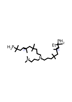 CCC(C)(P)/C=C(\C)CC(C)(C)CCCN(CCCN(C)C)CCCC(C)(C)C/C(C)=C/CC(C)(C)P